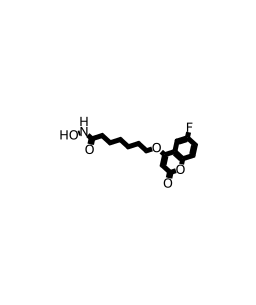 O=C(CCCCCCOc1cc(=O)oc2ccc(F)cc12)NO